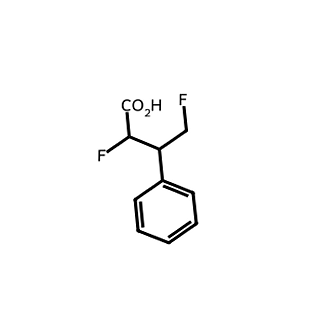 O=C(O)C(F)C(CF)c1ccccc1